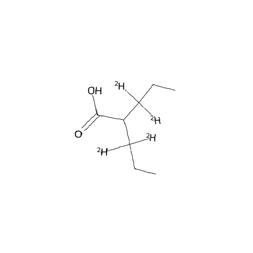 [2H]C([2H])(CC)C(C(=O)O)C([2H])([2H])CC